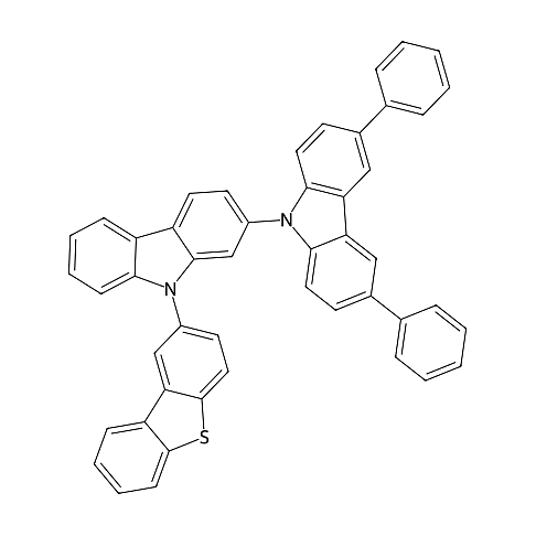 c1ccc(-c2ccc3c(c2)c2cc(-c4ccccc4)ccc2n3-c2ccc3c4ccccc4n(-c4ccc5sc6ccccc6c5c4)c3c2)cc1